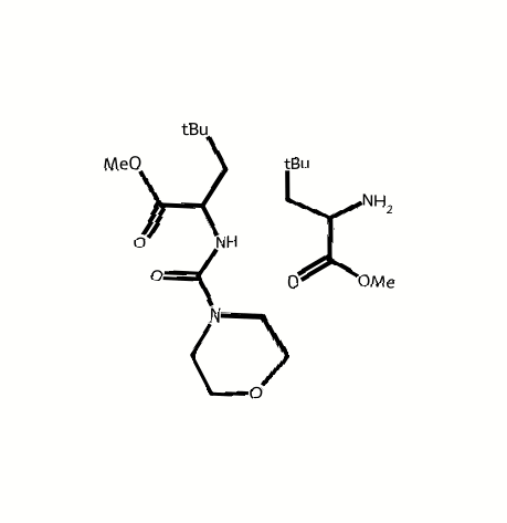 COC(=O)C(CC(C)(C)C)NC(=O)N1CCOCC1.COC(=O)C(N)CC(C)(C)C